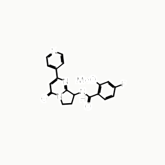 COc1cc(F)ccc1C(=O)NC1CCn2c1nc(-c1ccncc1)cc2=O